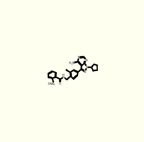 COc1ccccc1C(=O)NCc1ccc(-c2nn(C3CCCC3)c3ncnc(N)c23)cc1C